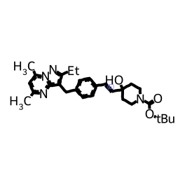 CCc1nn2c(C)cc(C)nc2c1Cc1ccc(/C=C/C2(O)CCN(C(=O)OC(C)(C)C)CC2)cc1